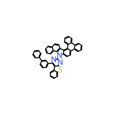 c1ccc(-c2cccc(-c3nc(-n4c5ccc6c7ccccc7c7ccccc7c6c5c5ccc6ccccc6c54)nc4sc5ccccc5c34)c2)cc1